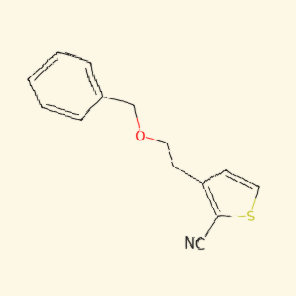 N#Cc1sccc1CCOCc1ccccc1